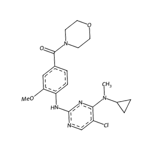 COc1cc(C(=O)N2CCOCC2)ccc1Nc1ncc(Cl)c(N(C)C2CC2)n1